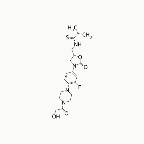 CC(C)C(=S)NCC1CN(c2ccc(N3CCN(C(=O)CO)CC3)c(F)c2)C(=O)O1